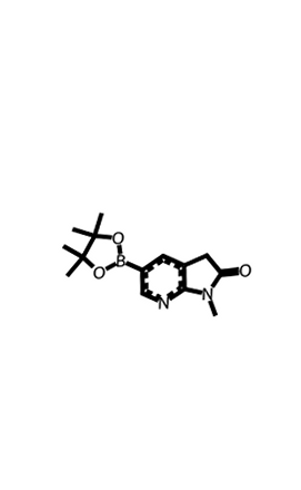 CN1C(=O)Cc2cc(B3OC(C)(C)C(C)(C)O3)cnc21